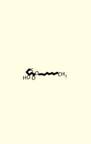 CCCCCCCCCOC(=O)C1SCCC1O